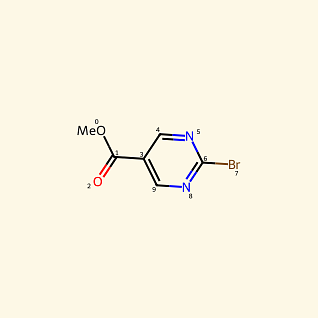 COC(=O)c1cnc(Br)nc1